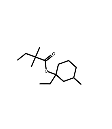 CCC1(OC(=O)C(C)(C)CC)CCCC(C)C1